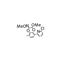 CO/N=C(\Oc1cc(-c2cccc(Cl)n2)ccc1C)C(=O)OC